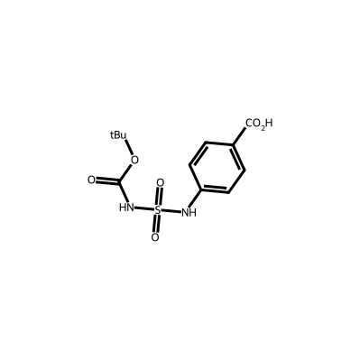 CC(C)(C)OC(=O)NS(=O)(=O)Nc1ccc(C(=O)O)cc1